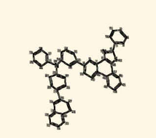 c1ccc(-c2nc3c4cc(-c5cccc(N(c6ccccc6)c6ccc(-c7ccc8ccccc8c7)cc6)c5)ccc4c4ccccc4c3s2)cc1